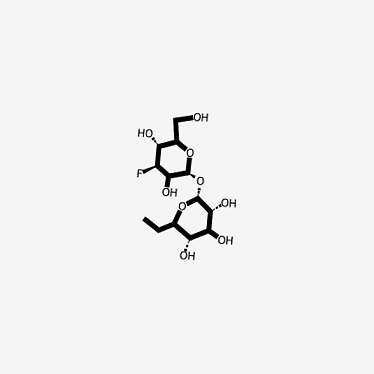 CCC1O[C@H](O[C@H]2OC(CO)[C@@H](O)[C@H](F)C2O)[C@H](O)C(O)[C@@H]1O